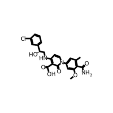 COc1cc(-n2ccc(NC[C@H](O)c3cccc(Cl)c3)c(C(=O)O)c2=O)cc(C)c1C(N)=O